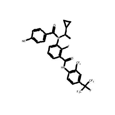 CC(C1CC1)N(C(=O)c1ccc(C#N)cc1)c1cccc(C(=O)Nc2ccc(C(F)(C(F)(F)F)C(F)(F)F)cc2C(F)(F)F)c1F